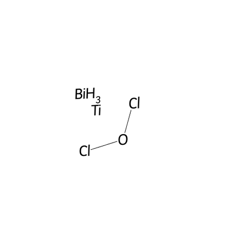 ClOCl.[BiH3].[Ti]